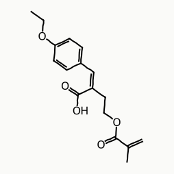 C=C(C)C(=O)OCCC(=Cc1ccc(OCC)cc1)C(=O)O